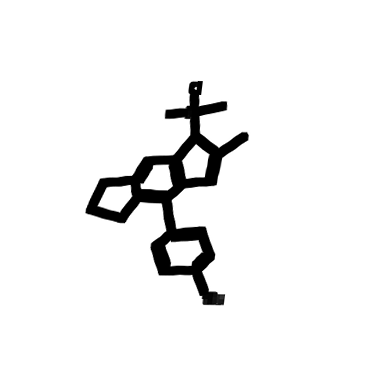 CC1=Cc2c(cc3c(c2-c2ccc(C(C)(C)C)cc2)CCC3)C1[Si](C)(C)Cl